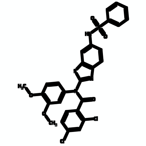 COc1ccc(N(C(=O)c2ccc(Cl)cc2Cl)c2nc3ccc(NS(=O)(=O)c4ccccc4)cc3s2)cc1OC